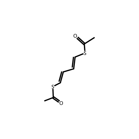 CC(=O)SC=CC=CSC(C)=O